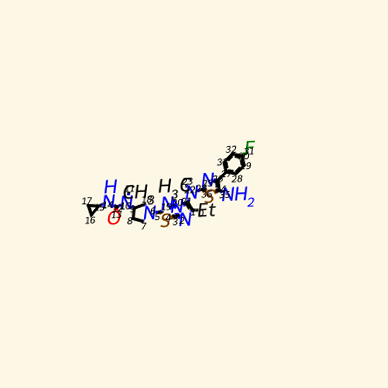 CCc1nc2sc(N3CCC(N(C)C(=O)NC4CC4)C3)nn2c1N(C)c1nc(-c2ccc(F)cc2)c(N)s1